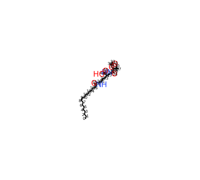 CCCCCCCC/C=C\CCCCCCCC(=O)NC/C=C/CC(CNC(=O)C1OC(C)(C)OCC1(C)C)C(=O)O